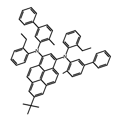 CCc1ccccc1N(c1cc(-c2ccccc2)ccc1C)c1cc(N(c2cc(-c3ccccc3)ccc2C)c2ccccc2CC)c2ccc3cc(C(C)(C)C)cc4ccc1c2c43